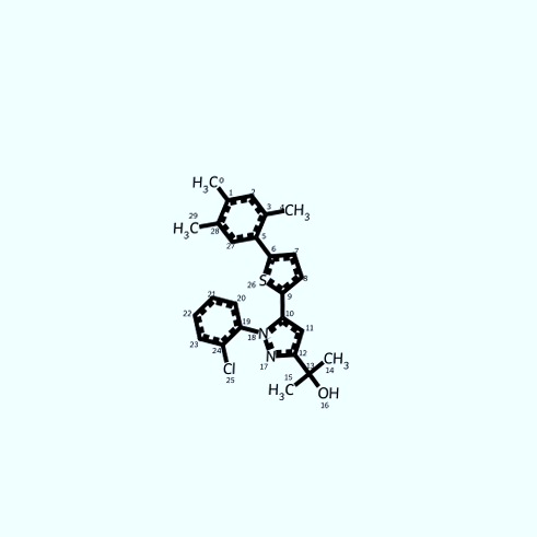 Cc1cc(C)c(-c2ccc(-c3cc(C(C)(C)O)nn3-c3ccccc3Cl)s2)cc1C